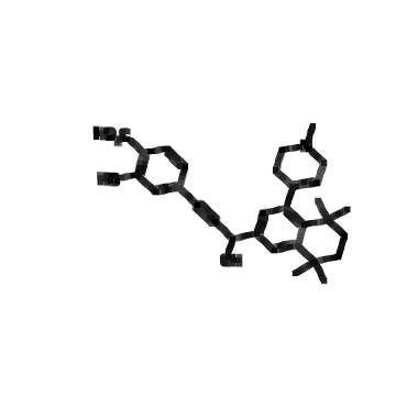 CN1CC=C(c2cc(C(O)C#Cc3ccc(C(=O)O)c(O)c3)cc3c2C(C)(C)CCC3(C)C)CC1